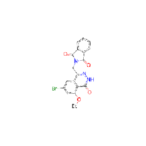 CCOc1cc(Br)cc2c(CN3C(=O)c4ccccc4C3=O)n[nH]c(=O)c12